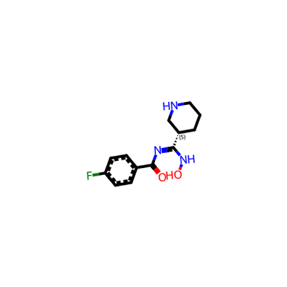 O=C(N=C(NO)[C@H]1CCCNC1)c1ccc(F)cc1